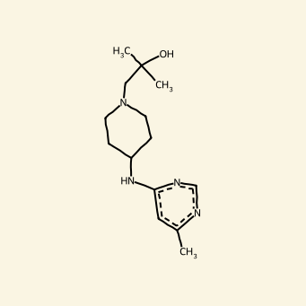 Cc1cc(NC2CCN(CC(C)(C)O)CC2)ncn1